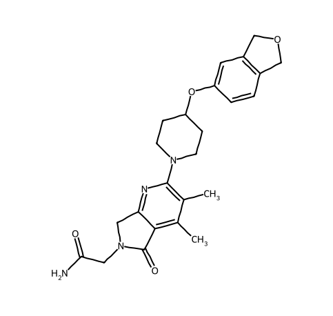 Cc1c(N2CCC(Oc3ccc4c(c3)COC4)CC2)nc2c(c1C)C(=O)N(CC(N)=O)C2